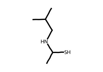 CC(C)CNC(C)S